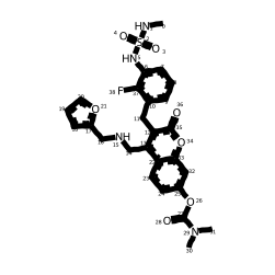 CNS(=O)(=O)Nc1cccc(Cc2c(CNCc3ccco3)c3ccc(OC(=O)N(C)C)cc3oc2=O)c1F